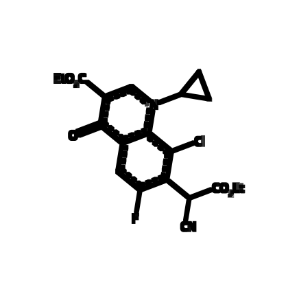 CCOC(=O)c1cn(C2CC2)c2c(Cl)c(C(C#N)C(=O)OCC)c(F)cc2c1=O